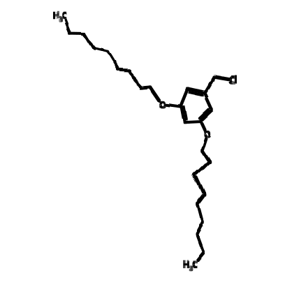 CCCCCCCCCOc1cc(CCl)cc(OCCCCCCCCC)c1